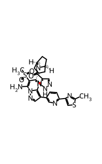 Cc1nc(-c2ccc(-c3cnn4c(N)c(S(C)(=O)=O)c([C@@H]5C[C@H]6CC[C@@H](C5)N6C(=O)c5cn[nH]n5)nc34)cn2)cs1